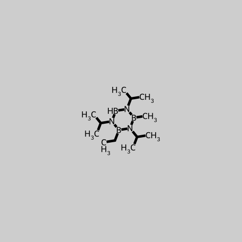 CCB1N(C(C)C)BN(C(C)C)B(C)N1C(C)C